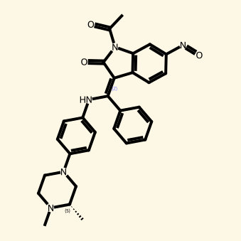 CC(=O)N1C(=O)/C(=C(\Nc2ccc(N3CCN(C)[C@@H](C)C3)cc2)c2ccccc2)c2ccc(N=O)cc21